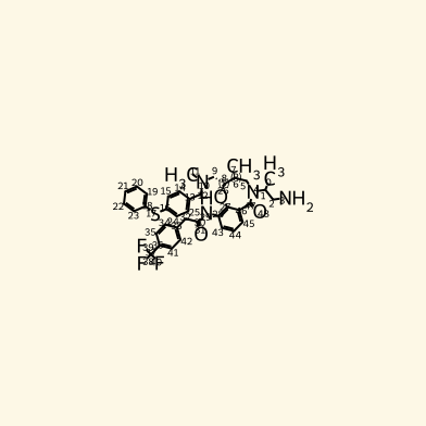 CC(CN)N1C[C@@H](C)[C@@H](CN(C)Cc2ccc(Sc3ccccc3)cc2)Oc2c(NC(=O)Cc3ccc(C(F)(F)F)cc3)cccc2C1=O